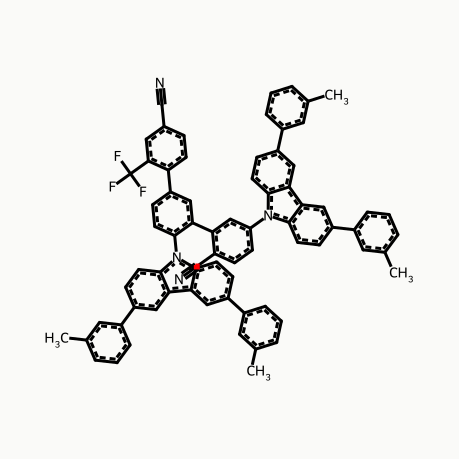 Cc1cccc(-c2ccc3c(c2)c2cc(-c4cccc(C)c4)ccc2n3-c2ccc(C#N)c(-c3cc(-c4ccc(C#N)cc4C(F)(F)F)ccc3-n3c4ccc(-c5cccc(C)c5)cc4c4cc(-c5cccc(C)c5)ccc43)c2)c1